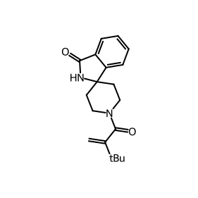 C=C(C(=O)N1CCC2(CC1)NC(=O)c1ccccc12)C(C)(C)C